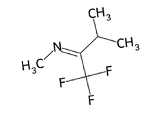 CN=C(C(C)C)C(F)(F)F